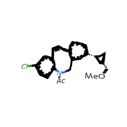 COC[C@H]1C[C@H]1c1ccc2c(c1)CN(C(C)=O)c1ccc(Cl)cc1/C=C\2